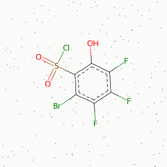 O=S(=O)(Cl)c1c(O)c(F)c(F)c(F)c1Br